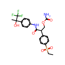 CCS(=O)(=O)c1ccc(C(COC(N)=O)C(=O)Nc2ccc(C(C)(O)C(F)(F)F)cc2)cc1